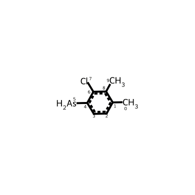 Cc1ccc([AsH2])c(Cl)c1C